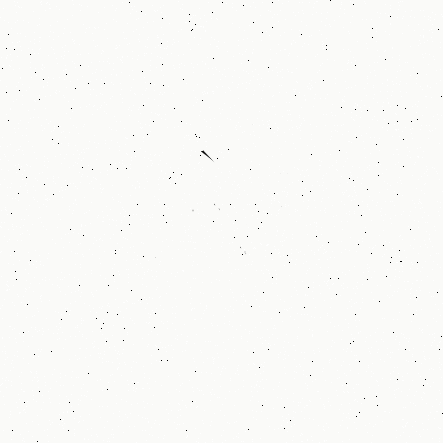 CC(C)CN(CC(O)C(=O)O)C(=O)N[C@@H](Cc1ccc(-c2cccc3ccccc23)cc1)C(=O)Oc1ccc2c(c1)CCC2